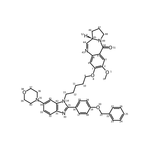 COc1cc2c(cc1OCCCCCn1c(-c3ccc(OCc4ccccc4)cc3)nc3ccc(N4CCOCC4)cc31)N=C[C@@H]1CCCN1C2=O